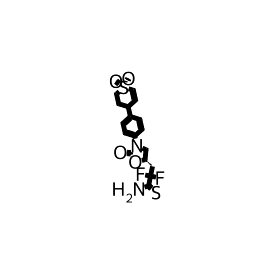 NC(=S)C(F)(F)C[C@H]1CN(c2ccc(C3C=CS(=O)(=O)CC3)cc2)C(=O)O1